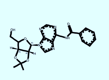 CC1(C)O[C@@H]2[C@H](O1)C(CO)O[C@H]2n1cnc2c(NC(=O)c3ccccc3)ncnc21